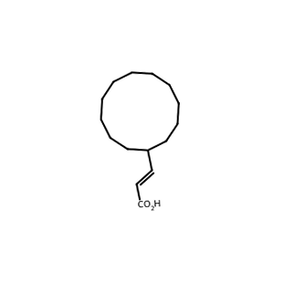 O=C(O)C=CC1CCCCCCCCCCC1